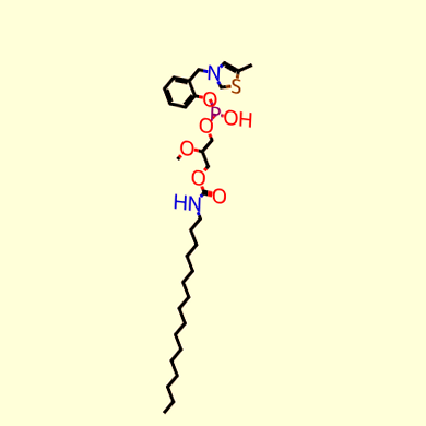 CCCCCCCCCCCCCCCCNC(=O)OCC(COP(O)Oc1ccccc1CN1C=C(C)SC1)OC